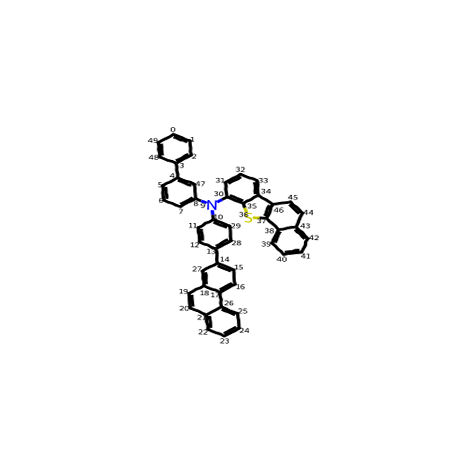 c1ccc(-c2cccc(N(c3ccc(-c4ccc5c(ccc6ccccc65)c4)cc3)c3cccc4c3sc3c5ccccc5ccc43)c2)cc1